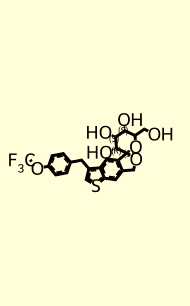 OCC1O[C@]2(OCc3cc4scc(Cc5ccc(OC(F)(F)F)cc5)c4cc32)[C@H](O)[C@@H](O)[C@@H]1O